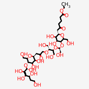 CCOC(=O)CCCC(=O)C[C@@H]1OC(CO)[C@@H](O[C@@H](CO)OC(CO)[C@@H](CO)OCC(=O)C[C@@H]2OC(CO)[C@@H](O[C@H](O)/C(O)=C(/O)[C@@H](O)CCO)C(O)C2O)C(O)C1O